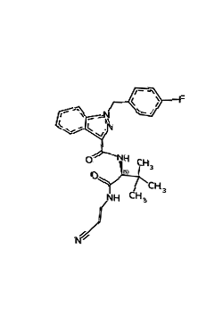 CC(C)(C)[C@H](NC(=O)c1nn(Cc2ccc(F)cc2)c2ccccc12)C(=O)NCCC#N